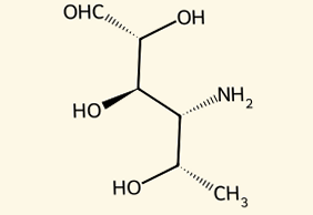 C[C@H](O)[C@@H](N)[C@@H](O)[C@@H](O)C=O